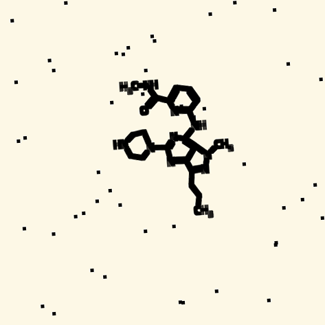 CCCc1nn(C)c2c(Nc3cccc(C(=O)NC)n3)nc(N3CCNCC3)nc12